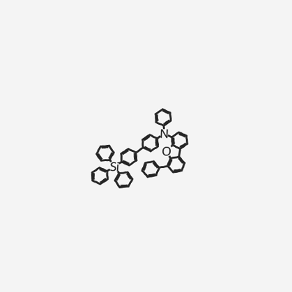 c1ccc(-c2cccc3c2oc2c(N(c4ccccc4)c4ccc(-c5ccc([Si](c6ccccc6)(c6ccccc6)c6ccccc6)cc5)cc4)cccc23)cc1